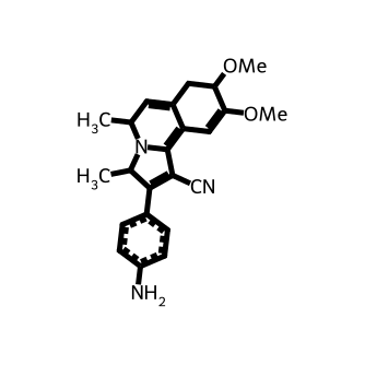 COC1=CC2=C3C(C#N)=C(c4ccc(N)cc4)C(C)N3C(C)C=C2CC1OC